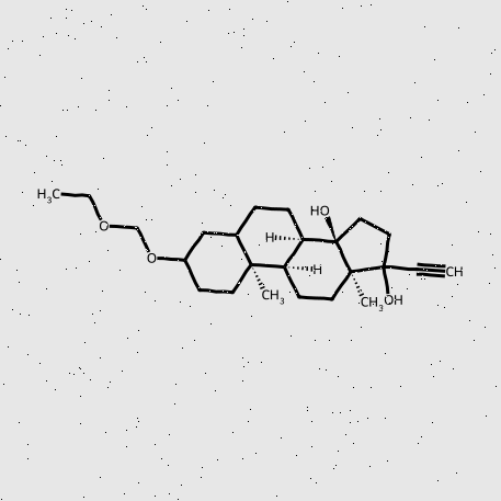 C#CC1(O)CC[C@@]2(O)[C@@H]3CCC4CC(OCOCC)CC[C@]4(C)[C@@H]3CC[C@]12C